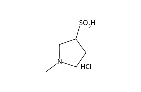 CN1CCC(S(=O)(=O)O)C1.Cl